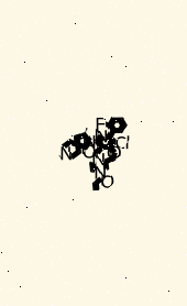 C=CC(=O)N1CCN2C(=O)c3c(N4CC5(CCN(C)CC5)C[C@@H]4C)nc(-c4ccccc4F)c(Cl)c3OCC2C1